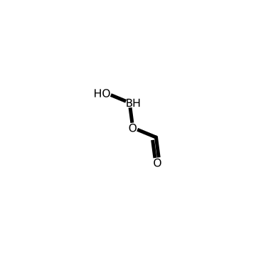 O=COBO